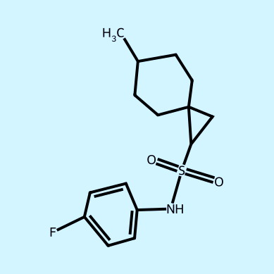 CC1CCC2(CC1)CC2S(=O)(=O)Nc1ccc(F)cc1